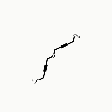 CCC#CCOCC#CCC